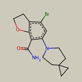 NC(=O)c1c(N2CCC3(CC2)CC3)cc(Br)c2c1OCC2